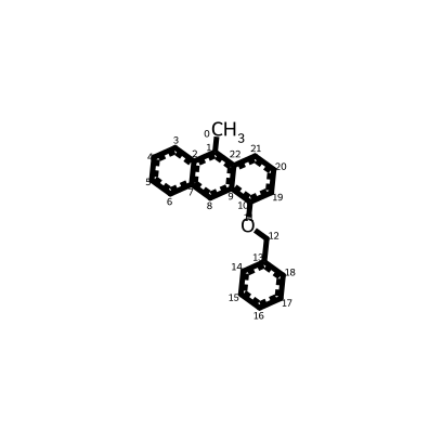 Cc1c2ccccc2cc2c(OCc3ccccc3)cccc12